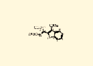 CON=C(C(=O)O)c1sc2ccccc2c1OC